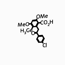 COc1cc(OC)c(C(=O)O)c(CC(=O)c2ccc(Cl)cc2)[c]1[GeH3]